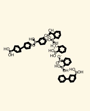 CC(=O)c1ccccc1B(O)O.Cc1cccc(B(O)O)c1.Cc1ccccc1B(O)O.O=[N+]([O-])c1ccccc1B(O)O.OB(O)c1ccc(-c2ccccc2)cc1.OB(O)c1cccc(-c2ccccc2)c1